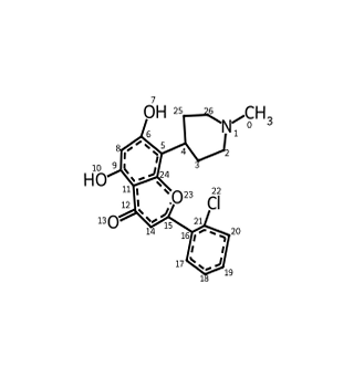 CN1CCC(c2c(O)cc(O)c3c(=O)cc(-c4ccccc4Cl)oc23)CC1